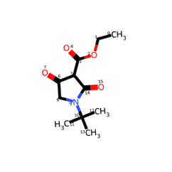 CCOC(=O)C1C(=O)CN(C(C)(C)C)C1=O